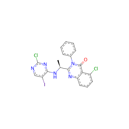 C[C@H](Nc1nc(Cl)ncc1I)c1nc2cccc(Cl)c2c(=O)n1-c1ccccc1